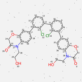 O=C1COc2cc(-c3cccc(-c4cccc(-c5ccc6c(c5)OCC(=O)N6CCO)c4Cl)c3Cl)ccc2N1CCO